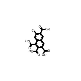 O=C(O)c1cc2cc(C(=O)O)c(C(=O)O)c(C(=O)O)c2cc1Cl